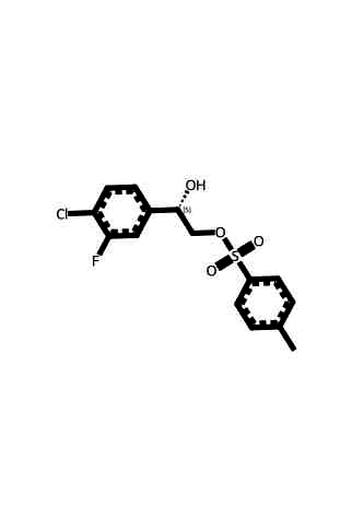 Cc1ccc(S(=O)(=O)OC[C@@H](O)c2ccc(Cl)c(F)c2)cc1